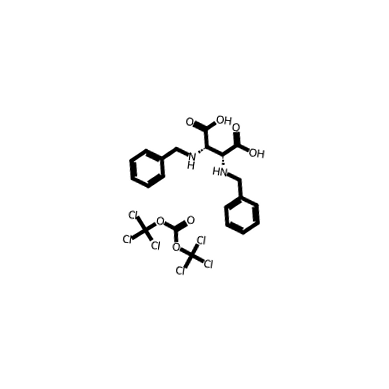 O=C(O)[C@@H](NCc1ccccc1)[C@@H](NCc1ccccc1)C(=O)O.O=C(OC(Cl)(Cl)Cl)OC(Cl)(Cl)Cl